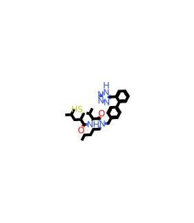 CCCCCN(Cc1ccc(-c2ccccc2-c2nnn[nH]2)cc1)C(=O)[C@@H](NC(=O)C(CS)CC(C)C)C(C)C